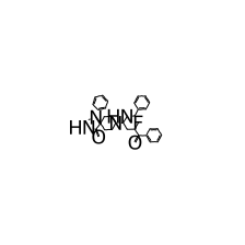 O=C(c1ccccc1)C(F)CC(NCc1ccccc1)N1CCC2(CC1)C(=O)NCN2c1ccccc1